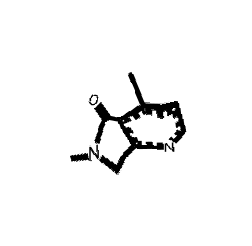 Cc1ccnc2c1C(=O)N(C)C2